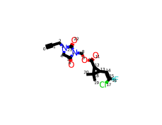 C#CCN1CC(=O)N(COC(=O)C2C(C=C(F)Cl)C2(C)C)C1=O